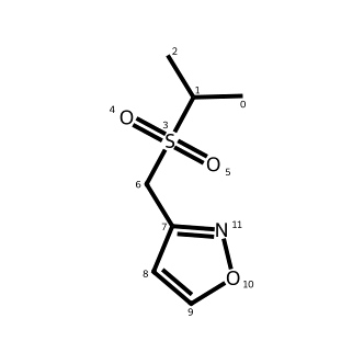 CC(C)S(=O)(=O)Cc1ccon1